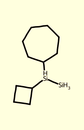 [SiH3][SiH](C1CCCCCC1)C1CCC1